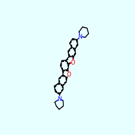 c1cc2cc3c(cc2cc1N1CCCCC1)oc1c3ccc2c3cc4ccc(N5CCCCC5)cc4cc3oc21